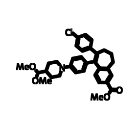 COC(=O)c1ccc2c(c1)CCCC(c1ccc(Cl)cc1)=C2c1ccc(N2CCC(C(OC)OC)CC2)cc1